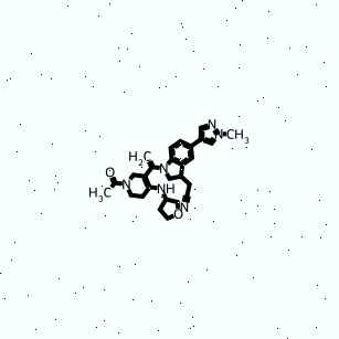 C=C(C1=C(NC2CCOC2)CCN(C(C)=O)C1)N1CC(CC#N)c2cc(-c3cnn(C)c3)ccc21